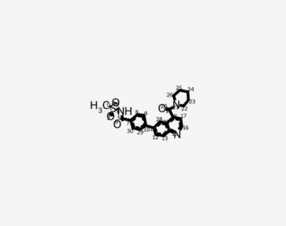 CS(=O)(=O)NC(=O)c1ccc(-c2ccc3nccc(C(=O)N4CCCCC4)c3c2)cc1